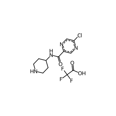 O=C(NC1CCNCC1)c1cnc(Cl)cn1.O=C(O)C(F)(F)F